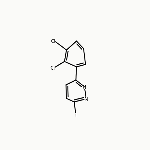 Clc1cccc(-c2ccc(I)nn2)c1Cl